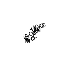 Cc1ccc(-c2nnc(CC(C)C)o2)cc1-c1cc2cnc(NC3CCOCC3)nc2n(C2CC2)c1=O